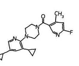 Cc1cc(F)ncc1C(=O)N1CCN(c2ncc(C3CC3)cc2C2CC2)CC1